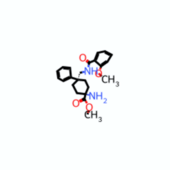 COc1ccccc1C(=O)NC[C@]1(c2ccccc2)CC[C@](N)(C(=O)OC)CC1